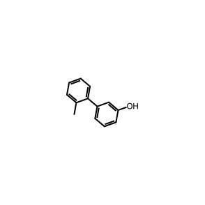 Cc1ccccc1-c1cccc(O)c1